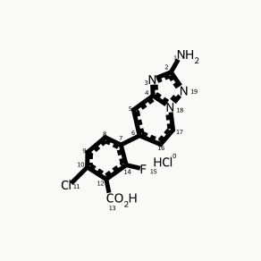 Cl.Nc1nc2cc(-c3ccc(Cl)c(C(=O)O)c3F)ccn2n1